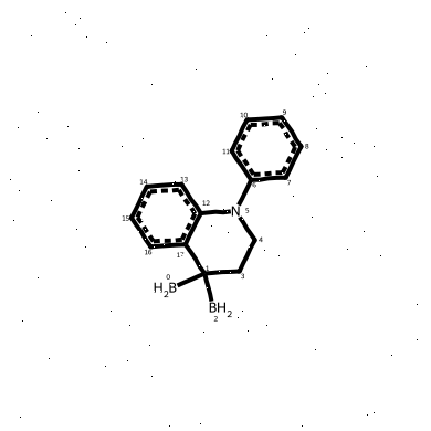 BC1(B)CCN(c2ccccc2)c2ccccc21